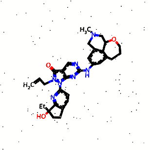 C=CCn1c(=O)c2cnc(Nc3cc4c5c(c3)CN(C)CC5OCCC4)nc2n1-c1ccc2c(n1)C(O)(CC)CC2